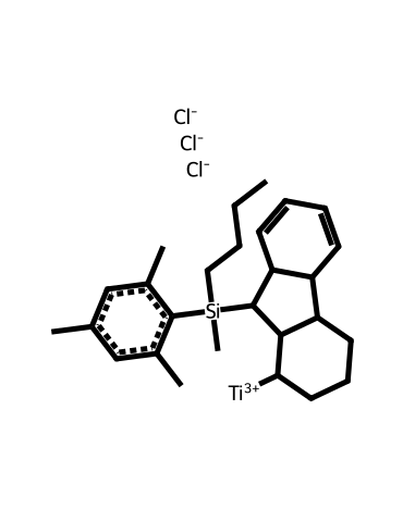 CCCC[Si](C)(c1c(C)cc(C)cc1C)C1C2C=CC=CC2C2CCC[CH]([Ti+3])C21.[Cl-].[Cl-].[Cl-]